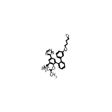 CC(C)Oc1c(C#N)cc(-c2ncno2)cc1-c1ccccc1-c1cccc(OCCCC=O)c1